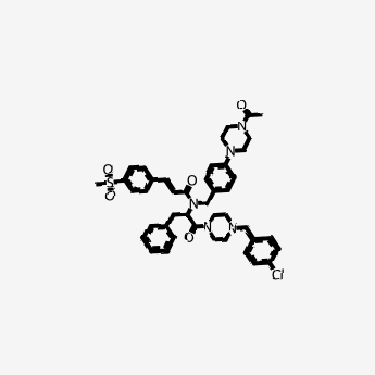 CC(=O)N1CCN(c2ccc(CN(C(=O)C=Cc3ccc(S(C)(=O)=O)cc3)C(Cc3ccccc3)C(=O)N3CCN(Cc4ccc(Cl)cc4)CC3)cc2)CC1